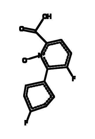 O=C(O)c1ccc(F)c(-c2ccc(F)cc2)[n+]1[O-]